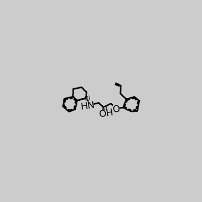 C=CCc1ccccc1OC[C@@H](O)CN[C@@H]1CCCc2ccccc21